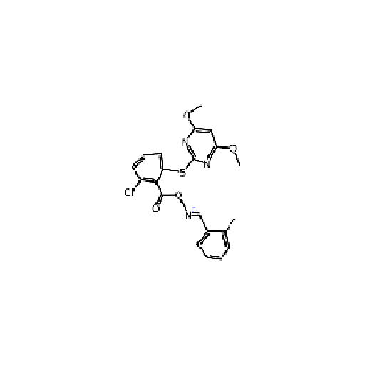 COc1cc(OC)nc(Sc2cccc(Cl)c2C(=O)O/N=C/c2ccccc2C)n1